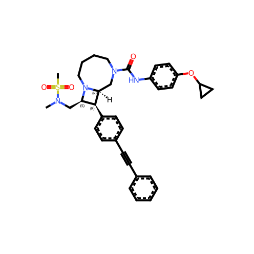 CN(C[C@@H]1[C@H](c2ccc(C#Cc3ccccc3)cc2)[C@@H]2CN(C(=O)Nc3ccc(OC4CC4)cc3)CCCCN12)S(C)(=O)=O